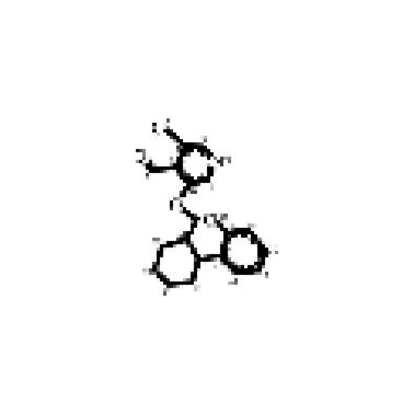 O=Cc1c(Cl)cncc1OCC1CCCCC1c1ccccc1Cl